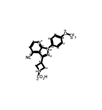 N#Cc1ccnc2c1c(C1CN(C(=O)O)C1)nn2-c1ccc(OC(F)(F)F)cc1